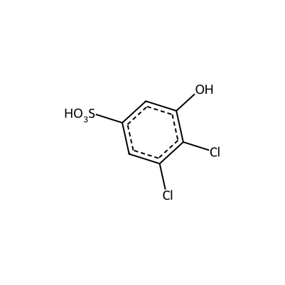 O=S(=O)(O)c1cc(O)c(Cl)c(Cl)c1